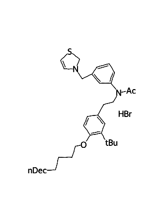 Br.CCCCCCCCCCCCCCOc1ccc(CCN(C(C)=O)c2cccc(CN3C=CSC3)c2)cc1C(C)(C)C